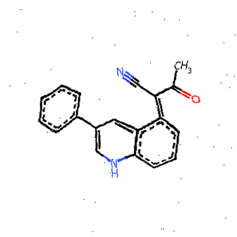 CC(=O)/C(C#N)=c1\cccc2c1=CC(c1ccccc1)=CN2